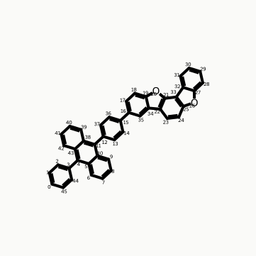 c1ccc(-c2c3ccccc3c(-c3ccc(-c4ccc5oc6c(ccc7oc8ccccc8c76)c5c4)cc3)c3ccccc23)cc1